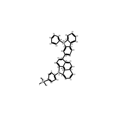 C[Si](C)(C)c1ccc(-n2c3cccc4ccc5c(-c6ccc7c8ccccc8n(-c8ccccc8)c7c6)ccc2c5c43)cc1